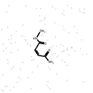 NC(=O)/C=C\C(=O)N[SiH3]